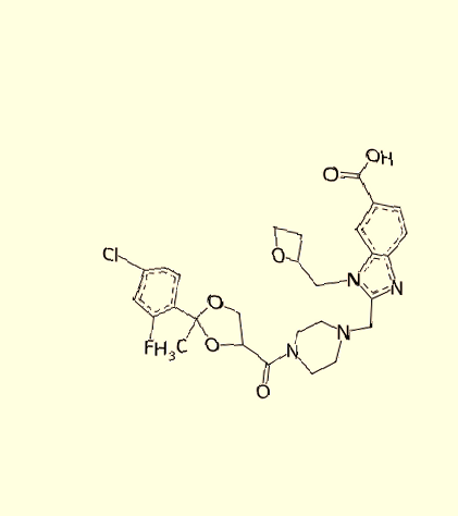 CC1(c2ccc(Cl)cc2F)OCC(C(=O)N2CCN(Cc3nc4ccc(C(=O)O)cc4n3CC3CCO3)CC2)O1